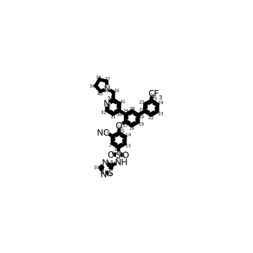 N#Cc1cc(S(=O)(=O)Nc2ncns2)ccc1Oc1ccc(-c2cccc(C(F)(F)F)c2)cc1-c1ccnc(CN2CCCC2)c1